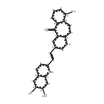 O=c1c2cc(/C=C/c3ccc4cc(F)c(Cl)cc4n3)ccc2ccc2c(F)cccc12